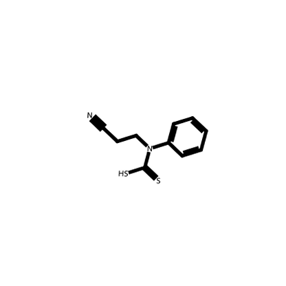 N#CCCN(C(=S)S)c1ccccc1